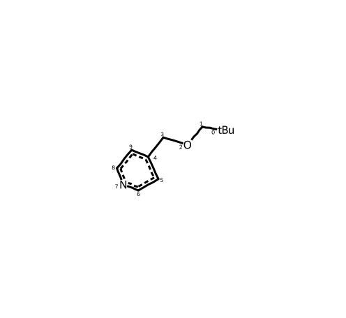 CC(C)(C)COCc1ccncc1